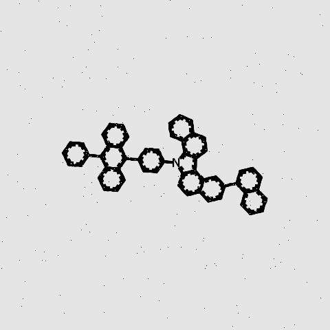 c1ccc(-c2c3ccccc3c(-c3ccc(-n4c5ccc6ccc(-c7cccc8ccccc78)cc6c5c5ccc6ccccc6c54)cc3)c3ccccc23)cc1